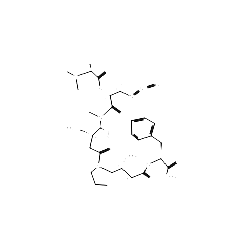 CC[C@H](C)[C@@H]([C@@H](CC(=O)N1CCC[C@H]1[C@H](OC)[C@@H](C)C(=O)N[C@@H](Cc1ccccc1)C(=O)OC)OC)N(C)C(=O)[C@H](NC(=O)[C@H](C(C)C)N(C)C)[C@H](C)N=[N+]=[N-]